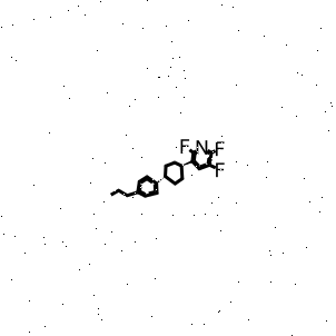 CCCc1ccc([C@H]2CC[C@H](c3cc(F)c(F)nc3F)CC2)cc1